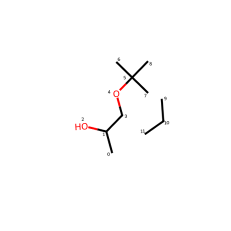 CC(O)COC(C)(C)C.CCC